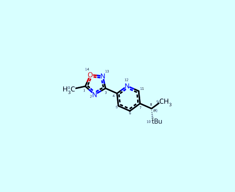 Cc1nc(-c2ccc([C@H](C)C(C)(C)C)cn2)no1